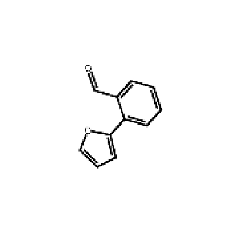 O=Cc1ccccc1-c1ccco1